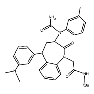 Cc1cccc(N(C(N)=O)C2CC(c3cccc(N(C)C)c3)c3ccccc3N(CC(=O)NC(C)(C)C)C2=O)c1